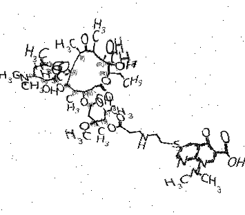 CC[C@H]1OC(=O)[C@H](C)[C@@H](O[C@H]2C[C@@](C)(OC)[C@@H](OC(=O)CCNCCSc3cnc4c(c3)c(=O)c(C(=O)O)cn4N(C)C)[C@H](C)O2)[C@H](C)[C@@H](O[C@@H]2O[C@H](C)C[C@H](N(C)C)[C@H]2O)[C@](C)(OC)C[C@@H](C)C(=O)C(C)[C@@H](O)[C@]1(C)O